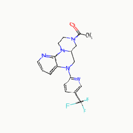 CC(=O)N1CCN2c3ncccc3N(c3ccc(C(F)(F)F)cn3)CC2C1